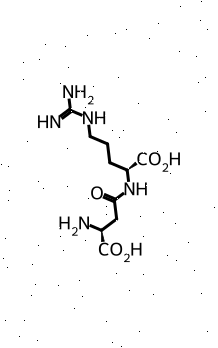 N=C(N)NCCC[C@H](NC(=O)C[C@H](N)C(=O)O)C(=O)O